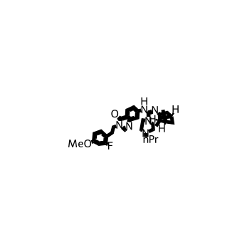 CCCN1CCN(/C(=N\C2C[C@@H]3C[C@H]([C@@H]2C)C3(C)C)Nc2ccc3c(=O)n(CCc4ccc(OC)cc4F)cnc3c2)CC1